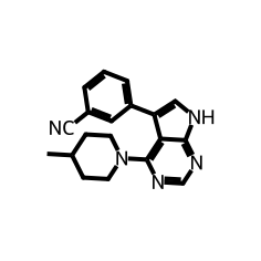 CC1CCN(c2ncnc3[nH]cc(-c4cccc(C#N)c4)c23)CC1